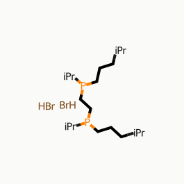 Br.Br.CC(C)CCCP(CCP(CCCC(C)C)C(C)C)C(C)C